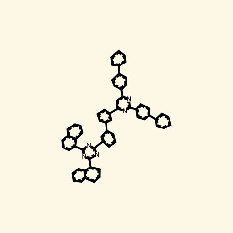 c1ccc(-c2ccc(-c3cc(-c4cccc(-c5cccc(-c6nc(-c7cccc8ccccc78)nc(-c7cccc8ccccc78)n6)c5)c4)nc(-c4ccc(-c5ccccc5)cc4)n3)cc2)cc1